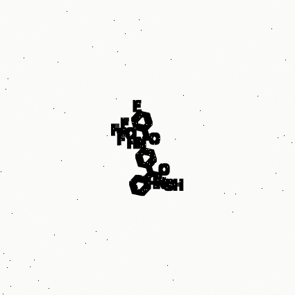 O=C(Nc1ccc(C(C(=O)NO)c2ccccc2)cc1)c1ccc(F)cc1OC(F)(F)F